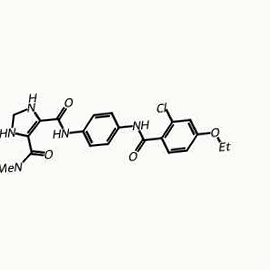 CCOc1ccc(C(=O)Nc2ccc(NC(=O)C3=C(C(=O)NC)NCN3)cc2)c(Cl)c1